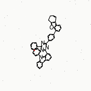 C1=Cc2c(oc3c(-c4ccc(-c5nc(-c6ccccc6)nc(-c6cccc7c8ccccc8n(-c8ccccc8)c67)n5)cc4)cccc23)CC1